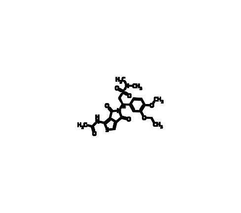 CCOc1cc([C@H](CS(=O)(=O)N(C)C)N2C(=O)c3csc(NC(C)=O)c3C2=O)ccc1OC